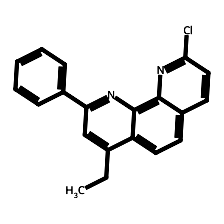 CCc1cc(-c2ccccc2)nc2c1ccc1ccc(Cl)nc12